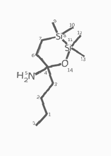 CCCCC1(N)CC[Si](C)(C)[Si](C)(C)O1